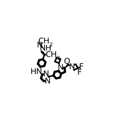 C=NN/C=C(\C)c1ccc(Nc2ccnc(-c3ccc4cc(C(=O)N5CC(F)(F)C5)n(C5CCC5)c4c3)n2)cc1